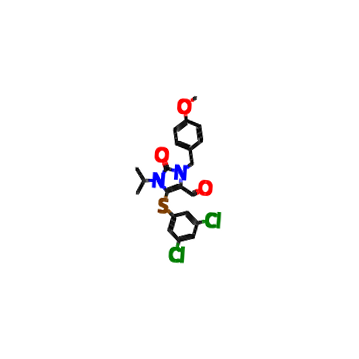 COc1ccc(Cn2c(C=O)c(Sc3cc(Cl)cc(Cl)c3)n(C(C)C)c2=O)cc1